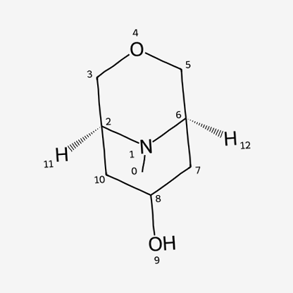 CN1[C@@H]2COC[C@H]1CC(O)C2